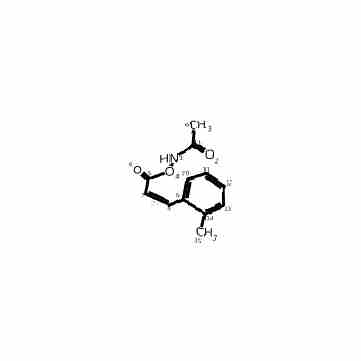 CC(=O)NOC(=O)/C=C\c1ccccc1C